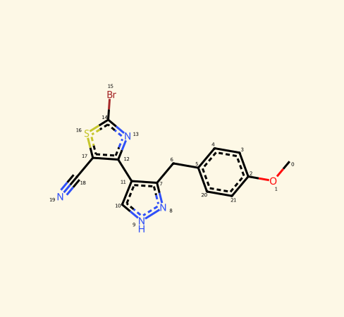 COc1ccc(Cc2n[nH]cc2-c2nc(Br)sc2C#N)cc1